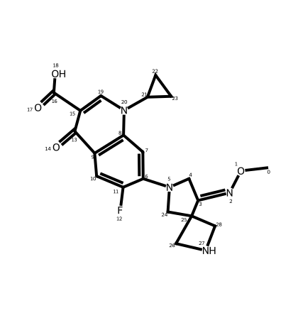 CON=C1CN(c2cc3c(cc2F)c(=O)c(C(=O)O)cn3C2CC2)CC12CNC2